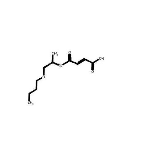 CCCCOCC(C)OC(=O)C=CC(=O)O